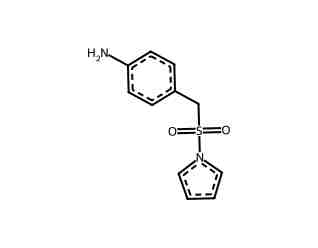 Nc1ccc(CS(=O)(=O)n2cccc2)cc1